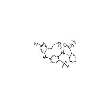 CNC(=O)c1ccccc1Nc1cc(Nc2cc(C)nn2CCO)ncc1C(F)(F)F